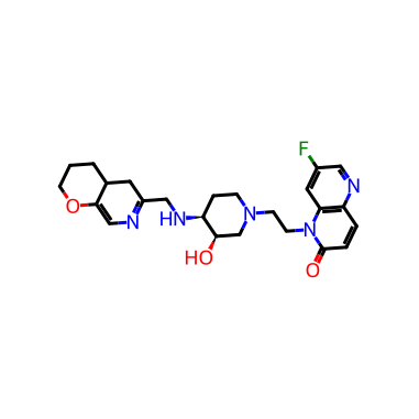 O=c1ccc2ncc(F)cc2n1CCN1CC[C@H](NCC2=NC=C3OCCCC3C2)[C@H](O)C1